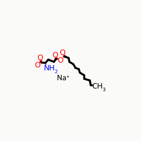 CCCCCCCCCCCC(=O)OC(=O)CC[C@H](N)C(=O)[O-].[Na+]